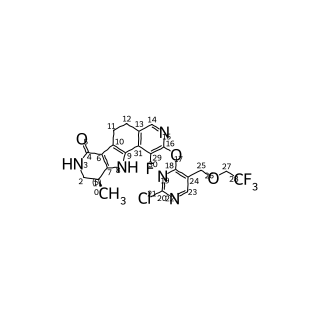 C[C@H]1CNC(=O)c2c1[nH]c1c2CCc2cnc(Oc3nc(Cl)ncc3COCC(F)(F)F)c(F)c2-1